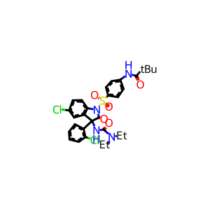 CCN(CC)C(=O)NC1(c2ccccc2Cl)C(=O)N(S(=O)(=O)c2ccc(NC(=O)C(C)(C)C)cc2)c2ccc(Cl)cc21